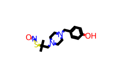 CC(C)(CN1CCN(Cc2ccc(O)cc2)CC1)SN=O